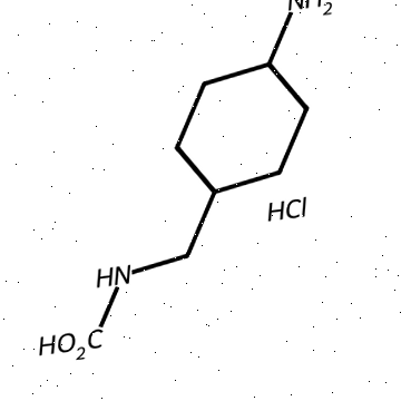 Cl.NC1CCC(CNC(=O)O)CC1